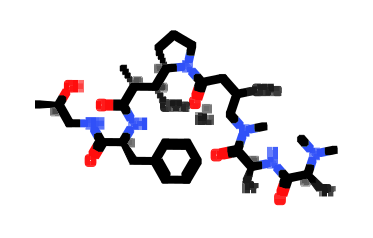 CC[C@H](C)C(C(CC(=O)N1CCC[C@H]1[C@H](OC)[C@@H](C)C(=O)N[C@@H](Cc1ccccc1)C(=O)NC[C@@H](C)O)OC)N(C)C(=O)[C@@H](NC(=O)[C@H](C(C)C)N(C)C)C(C)C